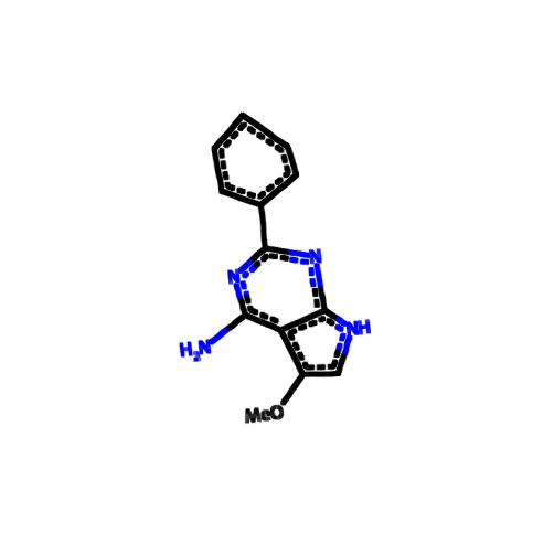 COc1c[nH]c2nc(-c3ccccc3)nc(N)c12